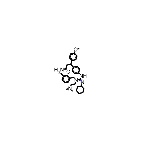 COc1ccc(C(CC(N)=O)c2ccc(N/C(=N/C3CCCCC3)N(CCN(C)C)Cc3cccc(C)c3)cc2)cc1